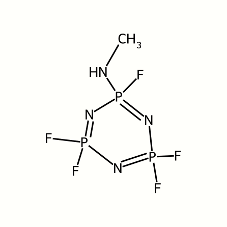 CNP1(F)=NP(F)(F)=NP(F)(F)=N1